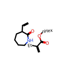 C=C(CC)C(=O)OCCCCCC.C=CC1CCCCNC1=O